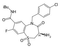 CCC(C)NC(=O)c1cc2c(cc1F)S(=O)(=O)C[C@H](N)C(=O)N2Cc1ccc(Cl)cc1